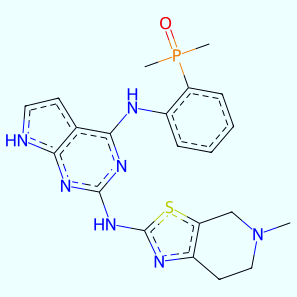 CN1CCc2nc(Nc3nc(Nc4ccccc4P(C)(C)=O)c4cc[nH]c4n3)sc2C1